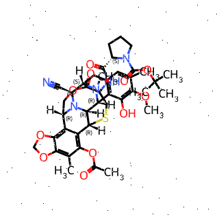 COc1c(C)cc2c(c1O)[C@@H]1[C@@H]3[C@@H]4SCC(NC(=O)[C@@H]5CCCN5C(=O)OC(C)(C)C)C(=O)OC[C@@H](c5c6c(c(C)c(OC(C)=O)c54)OCO6)N3[C@@H](C#N)[C@H](C2)N1C